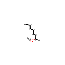 [2H]OC(C)CCCCCC